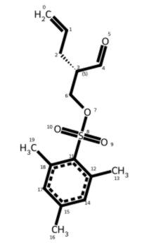 C=CC[C@H](C=O)COS(=O)(=O)c1c(C)cc(C)cc1C